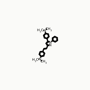 CN(C)c1ccc(C=Cc2cc(-c3ccc(N(C)C)cc3)n(-c3ccccc3)n2)cc1